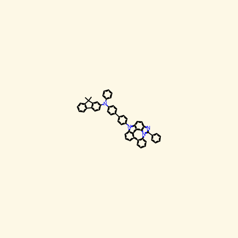 CC1(C)c2ccccc2-c2ccc(N(c3ccccc3)c3ccc(-c4ccc(-n5c6cccc7c8ccccc8n8c(-c9ccccc9)nc9ccc5c(c76)c98)cc4)cc3)cc21